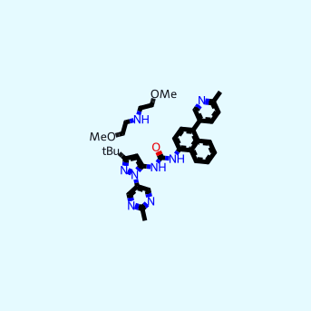 COCCNCCOC.Cc1ccc(-c2ccc(NC(=O)Nc3cc(C(C)(C)C)nn3-c3cnc(C)nc3)c3ccccc23)cn1